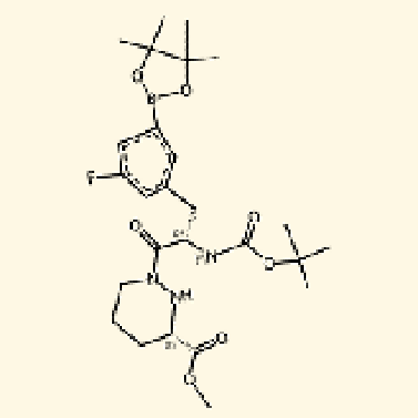 COC(=O)[C@@H]1CCCN(C(=O)[C@H](Cc2cc(F)cc(B3OC(C)(C)C(C)(C)O3)c2)NC(=O)OC(C)(C)C)N1